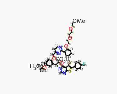 COCCOCCOCCOc1ccccc1-c1nccc(COc2ccc(O[Si](C)(C)C(C)(C)C)cc2CC(Oc2ncnc3sc(-c4ccc(F)cc4)c(Br)c23)C(=O)O)n1